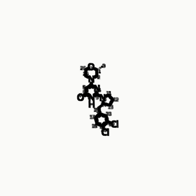 C[C@@H]1CN(c2cc(=O)[nH]c(N3CCC[C@H]3Cc3ccc(Cl)c(Cl)c3)n2)CCO1